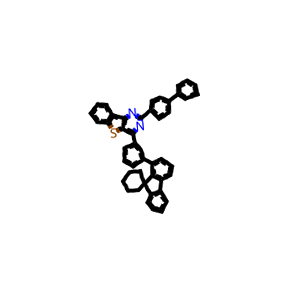 c1ccc(-c2ccc(-c3nc(-c4cccc(-c5cccc6c5C5(CCCCC5)c5ccccc5-6)c4)c4sc5ccccc5c4n3)cc2)cc1